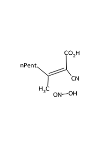 CCCCCC(C)=C(C#N)C(=O)O.O=NO